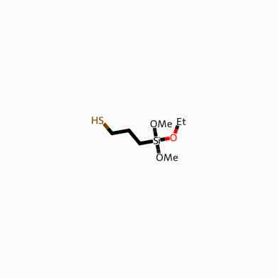 CCO[Si](CCCS)(OC)OC